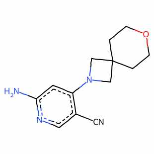 N#Cc1cnc(N)cc1N1CC2(CCOCC2)C1